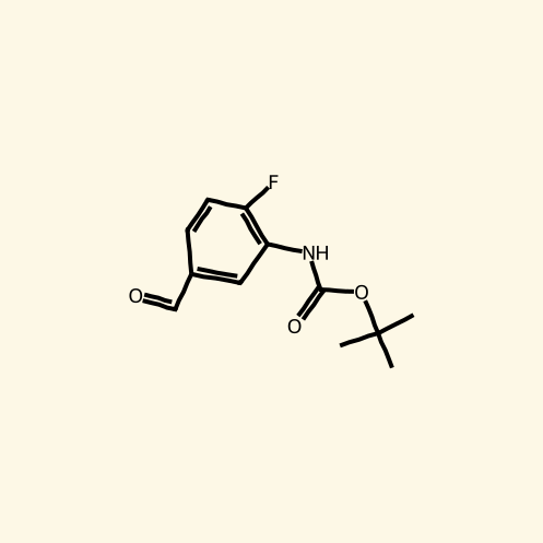 CC(C)(C)OC(=O)Nc1cc(C=O)ccc1F